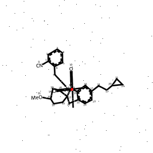 [C-]#[N+]c1ccccc1CN1C(=O)NC2(C1=O)c1cc(CCC3CC3)ccc1CC21CCC(OC)CC1